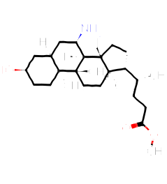 COC(=O)CC[C@@H](C)[C@H]1CC[C@H]2[C@@H]3[C@H](N)C[C@@H]4C[C@H](O)CC[C@]4(C)[C@@]3(C)CC[C@]12C